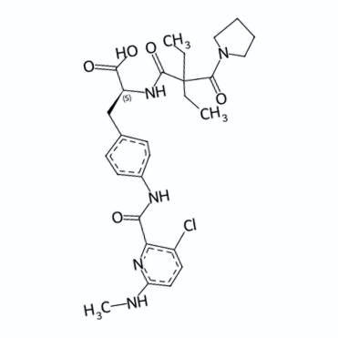 CCC(CC)(C(=O)N[C@@H](Cc1ccc(NC(=O)c2nc(NC)ccc2Cl)cc1)C(=O)O)C(=O)N1CCCC1